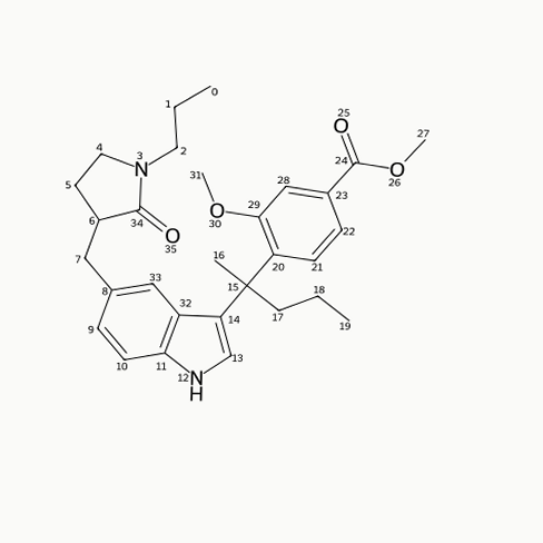 CCCN1CCC(Cc2ccc3[nH]cc(C(C)(CCC)c4ccc(C(=O)OC)cc4OC)c3c2)C1=O